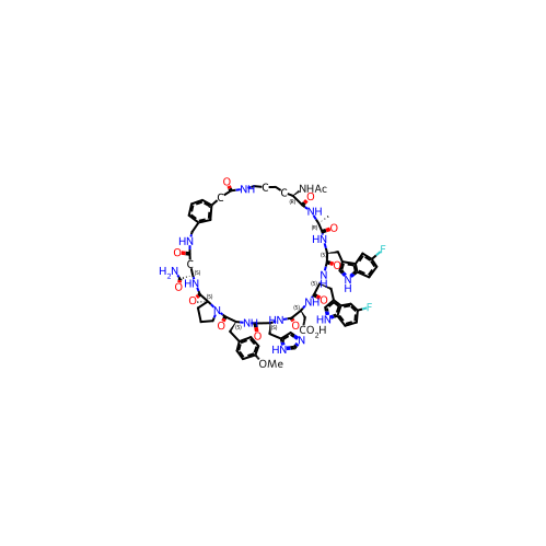 COc1ccc(C[C@@H]2NC(=O)[C@H](Cc3cnc[nH]3)NC(=O)[C@H](CC(=O)O)NC(=O)[C@H](Cc3c[nH]c4ccc(F)cc34)NC(=O)[C@H](Cc3c[nH]c4ccc(F)cc34)NC(=O)[C@@H](C)NC(=O)[C@H](NC(C)=O)CCCCNC(=O)Cc3cccc(c3)CNC(=O)C[C@@H](C(N)=O)NC(=O)[C@]3(C)CCCN3C2=O)cc1